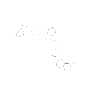 Cc1nc2ccccc2n1C1CCN(CCC2(c3ccccc3)CCC(NC(=O)c3ccc(Cl)c(S(N)(=O)=O)c3)CC2)CC1